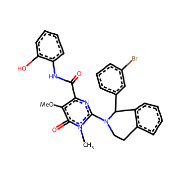 COc1c(C(=O)Nc2ccccc2O)nc(N2CCc3ccccc3C2c2cccc(Br)c2)n(C)c1=O